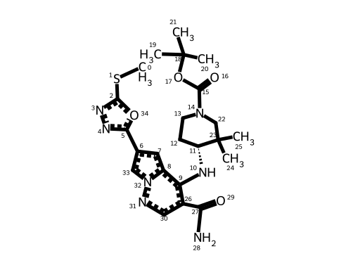 CSc1nnc(-c2cc3c(N[C@@H]4CCN(C(=O)OC(C)(C)C)CC4(C)C)c(C(N)=O)cnn3c2)o1